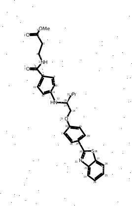 COC(=O)CCNC(=O)c1ccc(N[C@H](COc2ccc(-c3nc4ccccc4s3)cc2)C(C)C)cc1